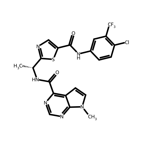 C[C@@H](NC(=O)c1ncnc2c1ccn2C)c1ncc(C(=O)Nc2ccc(Cl)c(C(F)(F)F)c2)s1